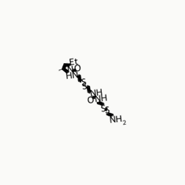 CC[C@@H]1C[C@@H](C)CN1C(=O)NCCSSCCNC(=O)NCCSSCCN